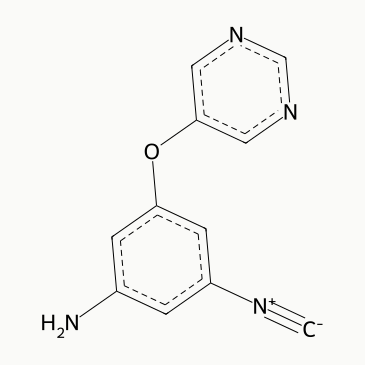 [C-]#[N+]c1cc(N)cc(Oc2cncnc2)c1